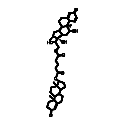 C[C@H]1CC2C(C[C@H](O)[C@]3(F)C4C=CC(=O)C=C4CCC23)[C@@]1(O)C(O)COC(=O)CCCC(=O)O[C@H]1CCC2C3CCC4=CC(=O)CC[C@]4(C)C3CC[C@@]21C